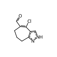 O=CC1=C(Cl)c2c[nH]nc2CCC1